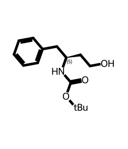 CC(C)(C)OC(=O)N[C@H](CCO)Cc1ccccc1